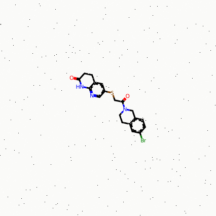 O=C1CCc2cc(SCC(=O)N3CCc4cc(Br)ccc4C3)cnc2N1